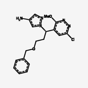 COc1nnc(Cl)cc1C(CCOCc1ccccc1)n1cc(N)cn1